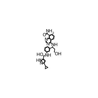 NC(=O)c1cccc2c(NC(CCO)c3cccc(NC(O)c4cc(C5CC5)n[nH]4)c3)ncnc12